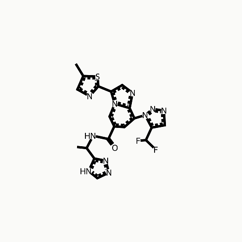 Cc1cnc(-c2cnc3c(-n4nncc4C(F)F)cc(C(=O)NC(C)c4nnc[nH]4)cn23)s1